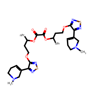 CCCC(CCOc1nsnc1C1=CCCN(C)C1)OC(=O)C(=O)OC(CCC)CCOc1nsnc1C1=CCCN(C)C1